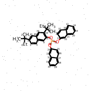 CCC(C)(C)c1ccc2cc(OP(Oc3ccc4ccccc4c3)Oc3ccc4ccccc4c3)c(C(C)(C)CC)cc2c1